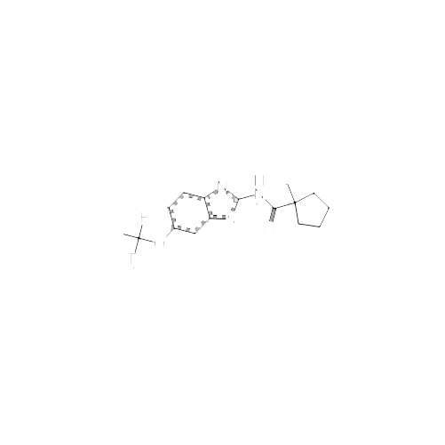 CC1(C(=O)Nc2nc3ccc(OC(F)(F)F)cc3s2)CCCC1